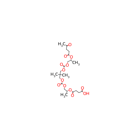 CC(=O)CCC(=O)OC(C)COC(=O)OCC(C)(C)COC(=O)OCC(C)OC(=O)CCC(=O)O